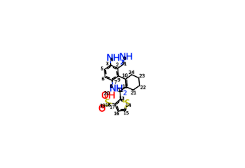 N=Cc1c(N)ccc(N)c1C1=C(Cc2sccc2S(=O)O)CCCC1